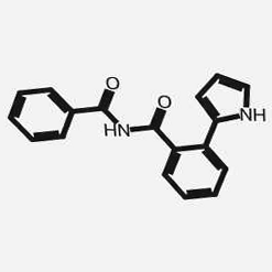 O=C(NC(=O)c1ccccc1-c1ccc[nH]1)c1ccccc1